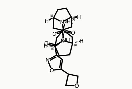 NC1C[C@H]2CC[C@@H](C1)N2S(=O)(=O)N1[C@@H]2CC[C@H]1CC(NC(=O)c1cc(C3COC3)on1)C2